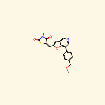 COCc1ccc(-c2cncc3cc(/C=C4/SC(=O)NC4=O)oc23)cc1